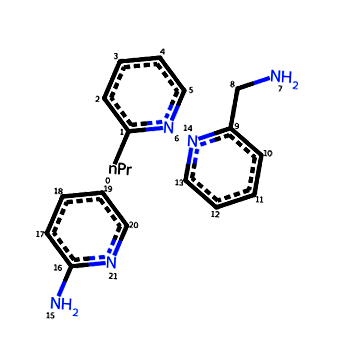 CCCc1ccccn1.NCc1ccccn1.Nc1ccccn1